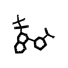 O=[N+]([O-])c1cccc(-c2nc(S(=O)(=O)C(F)(F)F)cc3cccnc23)c1